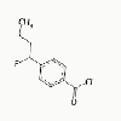 CCCC(F)c1ccc(C(=O)Cl)cc1